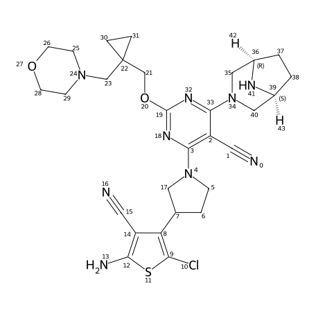 N#Cc1c(N2CCC(c3c(Cl)sc(N)c3C#N)C2)nc(OCC2(CN3CCOCC3)CC2)nc1N1C[C@H]2CC[C@@H](C1)N2